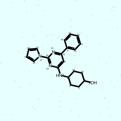 OC1CCC(Nc2cc(-c3ccccc3)nc(-n3cccc3)n2)CC1